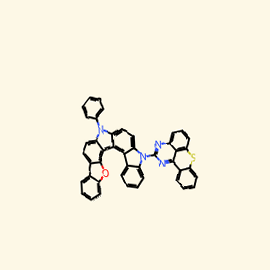 c1ccc(-n2c3ccc4c5ccccc5oc4c3c3c4c5ccccc5n(-c5nc6c7c(cccc7n5)Sc5ccccc5-6)c4ccc32)cc1